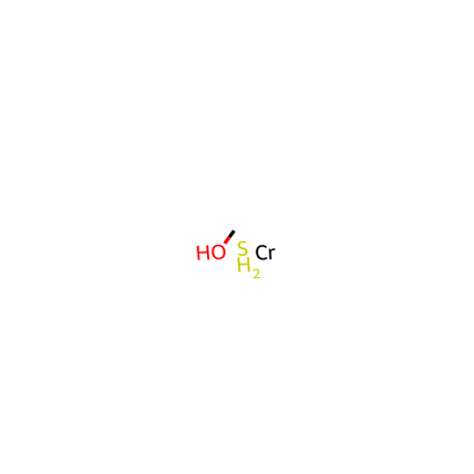 CO.S.[Cr]